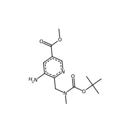 COC(=O)c1cnc(CN(C)C(=O)OC(C)(C)C)c(N)c1